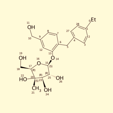 CCc1ccc(Cc2ccc(CO)cc2O[C@@H]2O[C@H](CO)[C@@](C)(O)[C@H](O)[C@H]2O)cc1